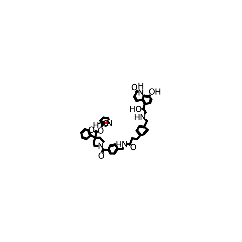 O=C(CCc1ccc(CNCC(O)c2ccc(O)c3[nH]c(=O)ccc23)cc1)NCc1ccc(C(=O)N2CCC(C(=O)O[C@H]3CN4CCC3CC4)(c3ccccc3)CC2)cc1